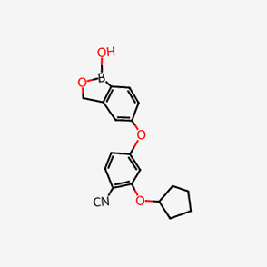 [C-]#[N+]c1ccc(Oc2ccc3c(c2)COB3O)cc1OC1CCCC1